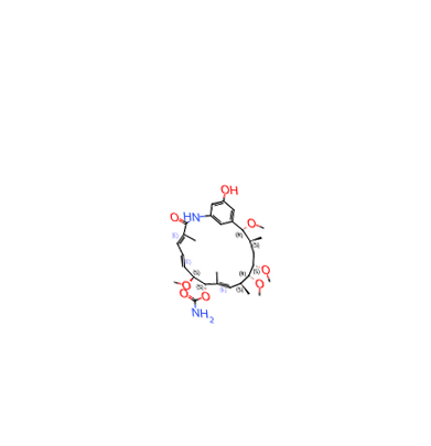 CO[C@H]1[C@@H](OC)C[C@H](C)[C@@H](OC)c2cc(O)cc(c2)NC(=O)/C(C)=C/C=C/[C@H](OC)[C@@H](OC(N)=O)/C(C)=C/[C@@H]1C